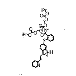 CC(C)OC(=O)OCOP(=O)(OCOC(=O)OC(C)C)N(C)C(=O)c1ccccc1Sc1ccc2c(/C=C/c3ccccn3)n[nH]c2c1